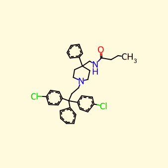 CCCC(=O)NCC1(c2ccccc2)CCN(CCC(c2ccccc2)(c2ccc(Cl)cc2)c2ccc(Cl)cc2)CC1